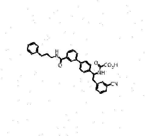 N#Cc1cccc(CC(NC(=O)C(=O)O)c2ccc(-c3cccc(C(=O)NCCCc4ccccc4)c3)cc2)c1